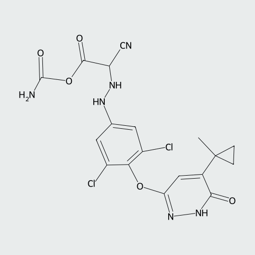 CC1(c2cc(Oc3c(Cl)cc(NNC(C#N)C(=O)OC(N)=O)cc3Cl)n[nH]c2=O)CC1